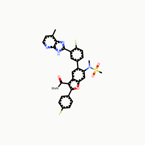 CNC(=O)c1c(-c2ccc(F)cc2)oc2cc(N(C)S(C)(=O)=O)c(-c3ccc(F)c(-c4nc5c(C)ccnc5[nH]4)c3)cc12